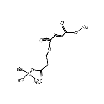 CCCCOC(=O)C=CC(=O)OCCC(=O)O[Si](CCCC)(CCCC)CCCC